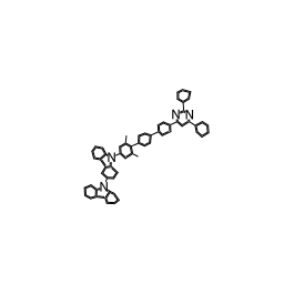 Cc1cc(-n2c3ccccc3c3cc(-n4c5ccccc5c5ccccc54)ccc32)cc(C)c1-c1ccc(-c2ccc(-c3cc(-c4ccccc4)nc(-c4ccccc4)n3)cc2)cc1